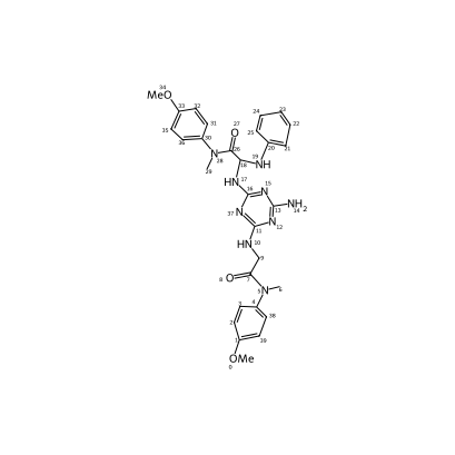 COc1ccc(N(C)C(=O)CNc2nc(N)nc(NC(Nc3ccccc3)C(=O)N(C)c3ccc(OC)cc3)n2)cc1